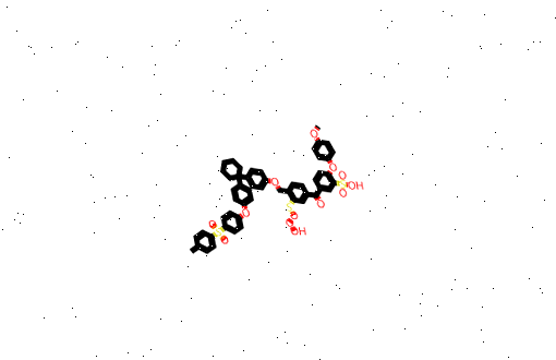 COc1ccc(Oc2ccc(C(=O)c3ccc(COc4ccc(C5(c6ccc(Oc7ccc(S(=O)(=O)c8ccc(C)cc8)cc7)cc6)CCCCC5)cc4)c(SOOO)c3)cc2S(=O)(=O)O)cc1